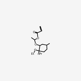 C=CC(=O)OC(C)OC1CC(C)CCC1(CCC)OCC